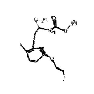 CCOC(=O)[C@@H](Cc1cc(OCCF)ccc1I)NC(=O)OC(C)(C)C